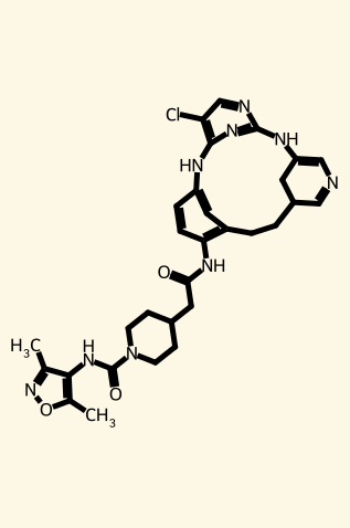 Cc1noc(C)c1NC(=O)N1CCC(CC(=O)Nc2ccc3cc2CCC2C=NC=C(C2)Nc2ncc(Cl)c(n2)N3)CC1